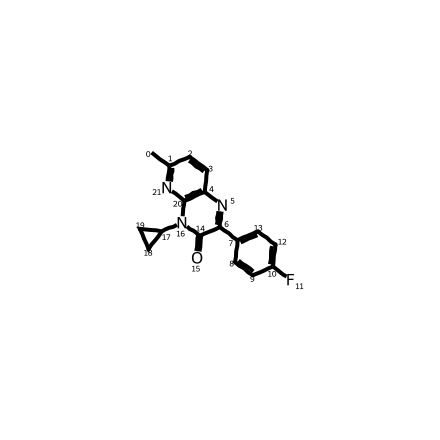 Cc1ccc2nc(-c3ccc(F)cc3)c(=O)n(C3CC3)c2n1